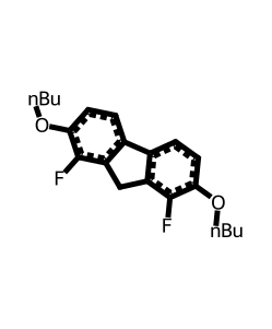 CCCCOc1ccc2c(c1F)Cc1c-2ccc(OCCCC)c1F